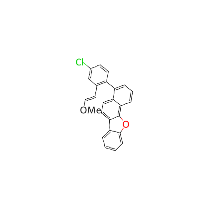 CO/C=C/c1cc(Cl)ccc1-c1cccc2c1ccc1c3ccccc3oc21